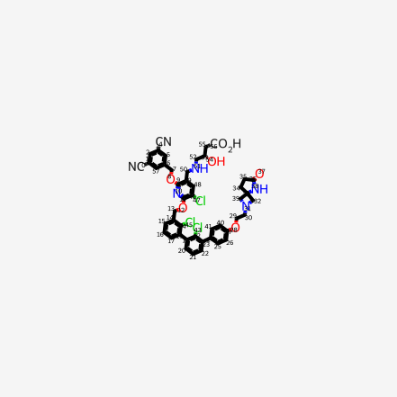 N#Cc1cc(C#N)cc(COc2nc(OCc3cccc(-c4cccc(-c5ccc(OCCN6CC7(CCC(=O)N7)C6)cc5)c4Cl)c3Cl)c(Cl)cc2CNC[C@@H](O)CC(=O)O)c1